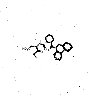 O=C(O)CC(NC(=O)[C@@H]1CCCCN1C(=O)N1Cc2ccccc2-c2ccccc21)C(=O)CF